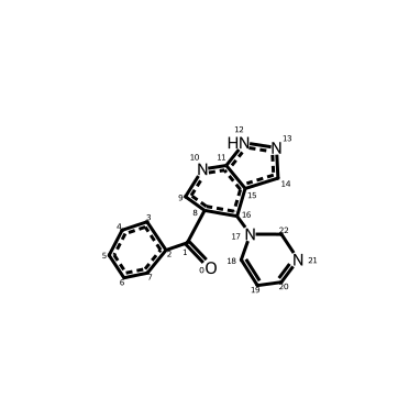 O=C(c1ccccc1)c1cnc2[nH]ncc2c1N1C=CC=NC1